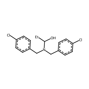 CCC(O)N(Cc1ccc(Cl)cc1)Cc1ccc(Cl)cc1